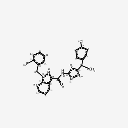 CC(c1ccc(Cl)cc1)c1nnc(NC(=O)c2nn(Cc3ccccc3F)c3ncccc23)s1